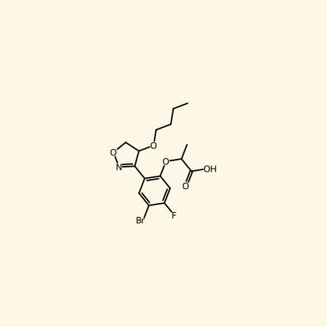 CCCCOC1CON=C1c1cc(Br)c(F)cc1OC(C)C(=O)O